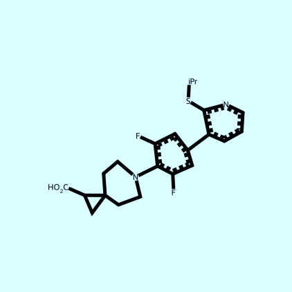 CC(C)Sc1ncccc1-c1cc(F)c(N2CCC3(CC2)CC3C(=O)O)c(F)c1